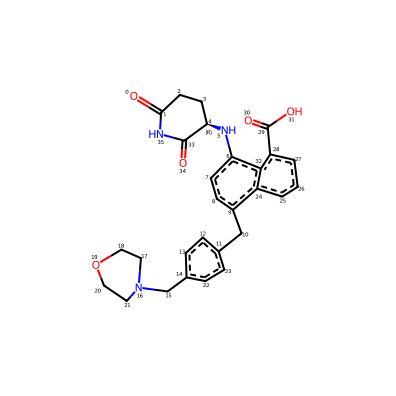 O=C1CC[C@@H](Nc2ccc(Cc3ccc(CN4CCOCC4)cc3)c3cccc(C(=O)O)c23)C(=O)N1